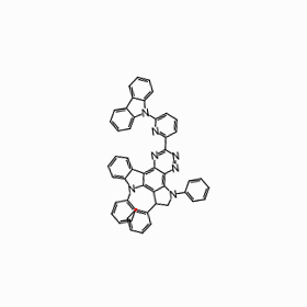 c1ccc(C2CN(c3ccccc3)c3c2c2c(c4ccccc4n2-c2ccccc2)c2nc(-c4cccc(-n5c6ccccc6c6ccccc65)n4)nnc32)cc1